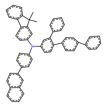 CC1(C)c2ccccc2-c2ccc(N(c3ccc(-c4ccc5ccccc5c4)cc3)c3ccc(-c4ccc(-c5ccccc5)cc4)c(-c4ccccc4)c3)cc21